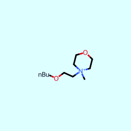 CCCCOCC[N+]1(C)CCOCC1